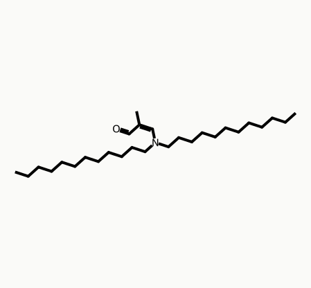 CCCCCCCCCCCCN(C=C(C)C=O)CCCCCCCCCCCC